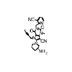 CC#CCn1c(N2CCC[C@@H](N)C2)c(C#N)c2c1c(=O)n(Cc1ncccc1C#N)c(=O)n2C